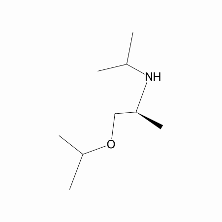 CC(C)N[C@@H](C)COC(C)C